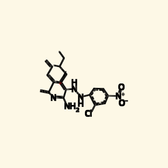 C=C/C=C(\C=C/C(C)CC)C(=C)/N=C(/N)C(NNc1ccc([N+](=O)[O-])cc1Cl)=C(C)C